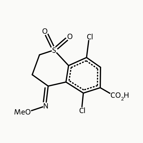 CON=C1CCS(=O)(=O)c2c(Cl)cc(C(=O)O)c(Cl)c21